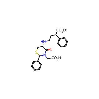 CCOC(=O)C(CCN[C@H]1CSC(c2ccccc2)N(CC(=O)O)C1=O)c1ccccc1